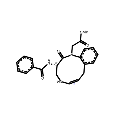 COC(=O)CN1C(=O)[C@@H](NC(=O)c2ccccc2)CN/C=C\Cc2ccccc21